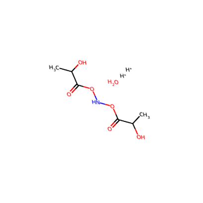 CC(O)C(=O)ONOC(=O)C(C)O.O.[H+].[H+]